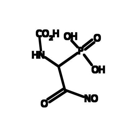 O=NC(=O)C(NC(=O)O)P(=O)(O)O